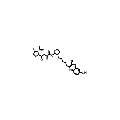 CC(=O)[C@@H]1[C@H](C)CCN1C(=O)CNC(=O)OC1CCC[C@H]1CCCCCc1nc2ccc(O)cc2nc1O